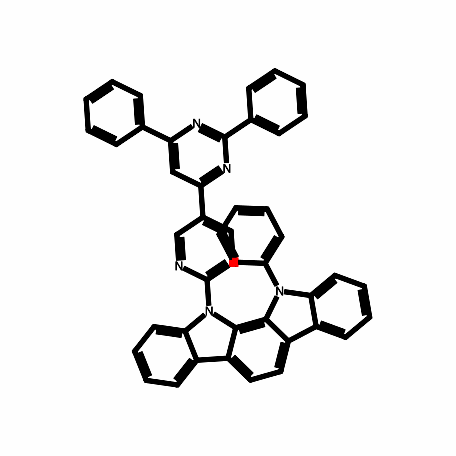 c1ccc(-c2cc(-c3cnc(-n4c5ccccc5c5ccc6c7ccccc7n(-c7ccccc7)c6c54)nc3)nc(-c3ccccc3)n2)cc1